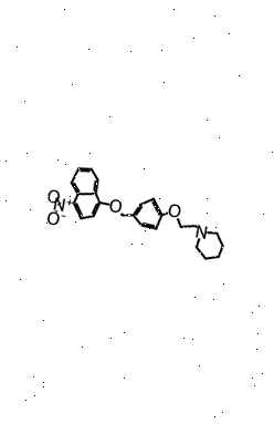 O=[N+]([O-])c1ccc(OCc2ccc(OCCN3CCCCC3)cc2)c2ccccc12